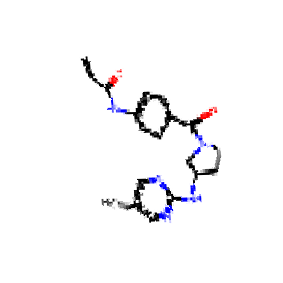 C=CC(=O)Nc1ccc(C(=O)N2CCC(Nc3ncc(C#N)cn3)C2)cc1